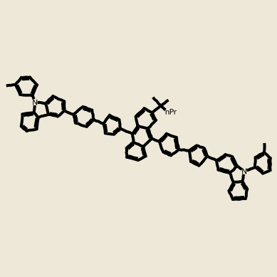 CCCC(C)(C)c1ccc2c(-c3ccc(-c4ccc(-c5ccc6c(c5)c5ccccc5n6-c5cccc(C)c5)cc4)cc3)c3ccccc3c(-c3ccc(-c4ccc(-c5ccc6c(c5)c5ccccc5n6-c5cccc(C)c5)cc4)cc3)c2c1